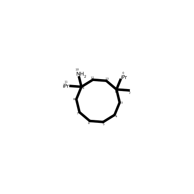 CC(C)C1(C)CCCCCCC(N)(C(C)C)CC1